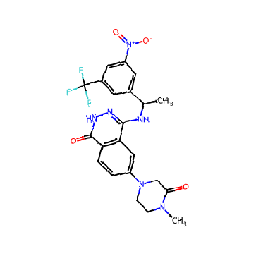 C[C@@H](Nc1n[nH]c(=O)c2ccc(N3CCN(C)C(=O)C3)cc12)c1cc([N+](=O)[O-])cc(C(F)(F)F)c1